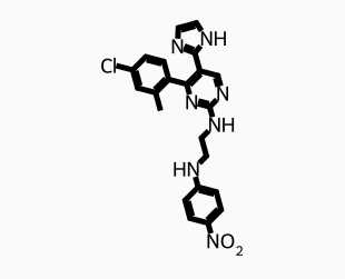 Cc1cc(Cl)ccc1-c1nc(NCCNc2ccc([N+](=O)[O-])cc2)ncc1-c1ncc[nH]1